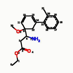 CCOC(=O)CC(N)C1(OC)C=CC=C(c2ccccc2C)C1